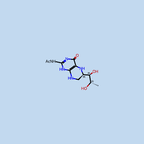 CC(=O)Nc1nc(=O)c2c([nH]1)NC[C@H]([C@@H](O)[C@H](C)O)N2